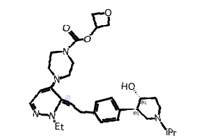 CCN1N=CC=C(N2CCN(C(=O)OC3COC3)CC2)/C1=C/Cc1ccc([C@@H]2CN(C(C)C)CC[C@H]2O)cc1